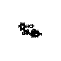 CC12CC3CC(C)(C1)CC(NOC(=O)c1cccnc1)(C3)C2.Cl